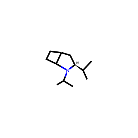 CC(C)[C@@H]1CC2CCC2N1C(C)C